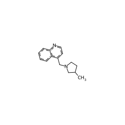 CC1CCN(Cc2ccnc3ccccc23)C1